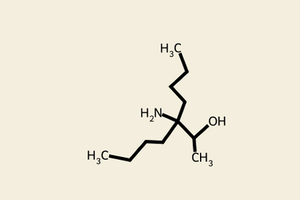 CCCCC(N)(CCCC)C(C)O